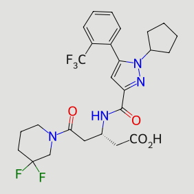 O=C(O)C[C@H](CC(=O)N1CCCC(F)(F)C1)NC(=O)c1cc(-c2ccccc2C(F)(F)F)n(C2CCCC2)n1